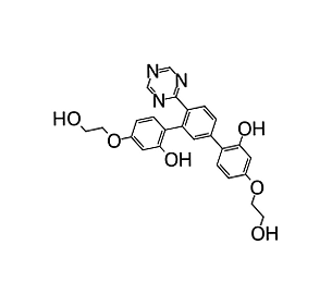 OCCOc1ccc(-c2ccc(-c3ncncn3)c(-c3ccc(OCCO)cc3O)c2)c(O)c1